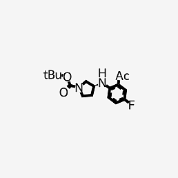 CC(=O)c1cc(F)ccc1N[C@@H]1CCN(C(=O)OC(C)(C)C)C1